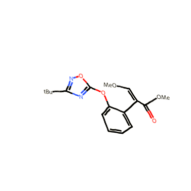 CO/C=C(/C(=O)OC)c1ccccc1Oc1nc(C(C)(C)C)no1